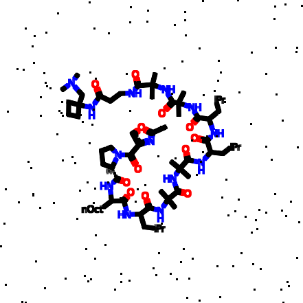 CCCCCCCCC(NC(=O)[C@@H]1CCCN1C(=O)c1coc(C)n1)C(=O)NC(CC(C)C)C(=O)NC(C)(C)C(=O)NC(C)(C)C(=O)NC(CC(C)C)C(=O)NC(CC(C)C)C(=O)NC(C)(C)C(=O)NC(C)(C)C(=O)NCCC(=O)NC1(CN(C)C)CCC1